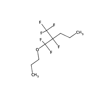 CCCOC(F)(F)C(F)(CCC)C(F)(F)F